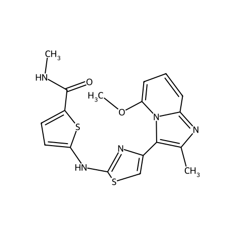 CNC(=O)c1ccc(Nc2nc(-c3c(C)nc4cccc(OC)n34)cs2)s1